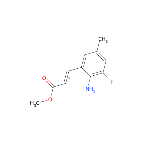 COC(=O)/C=C/c1cc(C)cc(F)c1N